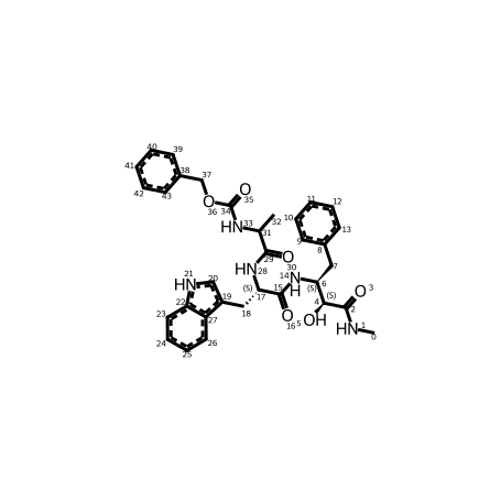 CNC(=O)[C@@H](O)[C@H](Cc1ccccc1)NC(=O)[C@H](Cc1c[nH]c2ccccc12)NC(=O)C(C)NC(=O)OCc1ccccc1